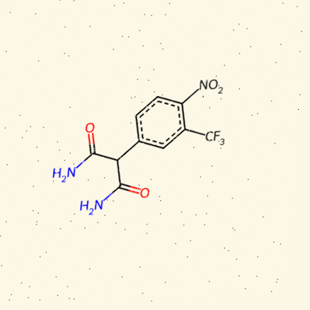 NC(=O)C(C(N)=O)c1ccc([N+](=O)[O-])c(C(F)(F)F)c1